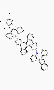 c1ccc2c(c1)C[Si]1(C2)c2ccccc2N(c2ccc3c4ccccc4c4c5cc(N6c7ccccc7[Si]7(Cc8ccccc8C7)c7ccccc76)ccc5c5ccccc5c4c3c2)c2ccccc21